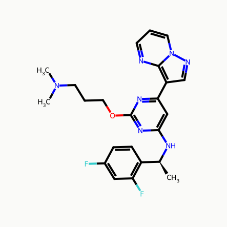 C[C@H](Nc1cc(-c2cnn3cccnc23)nc(OCCCN(C)C)n1)c1ccc(F)cc1F